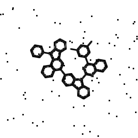 Cc1cc(C)cc(-c2nc(-n3c4ccccc4c4ccc(-c5cc6c7ccccc7n(-c7ccccc7)c6c6ccccc56)cc43)nc3ccccc23)c1